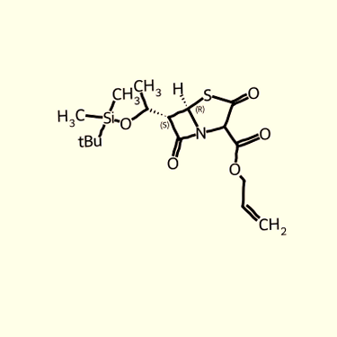 C=CCOC(=O)C1C(=O)S[C@@H]2[C@@H](C(C)O[Si](C)(C)C(C)(C)C)C(=O)N12